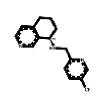 FC(F)(F)c1ccc(CN[C@@H]2CCCc3ccncc32)nc1